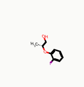 C[C@H](CO)Oc1ccccc1I